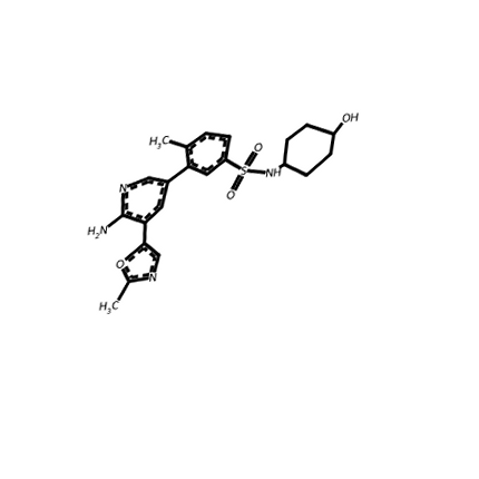 Cc1ncc(-c2cc(-c3cc(S(=O)(=O)NC4CCC(O)CC4)ccc3C)cnc2N)o1